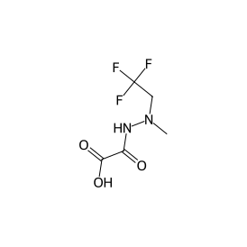 CN(CC(F)(F)F)NC(=O)C(=O)O